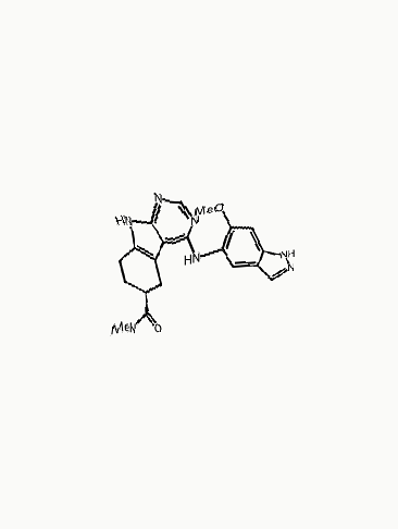 CNC(=O)[C@H]1CCc2[nH]c3ncnc(Nc4cc5cn[nH]c5cc4OC)c3c2C1